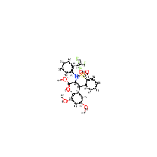 COC(=O)C1=C(c2cc(OC)cc(OC)c2)c2ccccc2S(=O)(=O)N1c1ccccc1C(F)(F)F